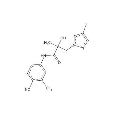 CC(O)(Cn1cc(I)cn1)C(=O)Nc1ccc(C#N)c(C(F)(F)F)c1